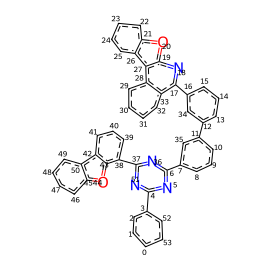 c1ccc(-c2nc(-c3cccc(-c4cccc(-c5nc6oc7ccccc7c6c6ccccc56)c4)c3)nc(-c3cccc4c3oc3ccccc34)n2)cc1